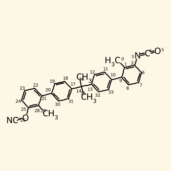 Cc1c(N=C=O)cccc1-c1ccc(C(C)(C)c2ccc(-c3cccc(OC#N)c3C)cc2)cc1